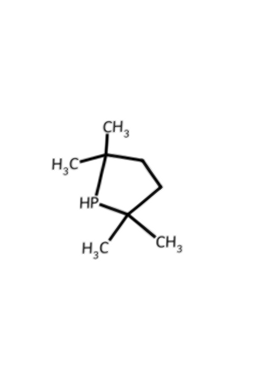 CC1(C)CCC(C)(C)P1